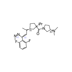 C/N=N\C(=C/C(C)[C@H]1CC[C@](C(=O)N2CC[C@@H](N(C)C)C2)(C(C)C)C1)c1c(F)cccc1F